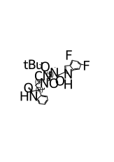 CN(C(=O)c1cc2c(F)cc(F)cc2[nH]1)[C@@H](COC(C)(C)C)C(=O)N1C[C@]2(C[C@H]1C#N)C(=O)Nc1ccccc12